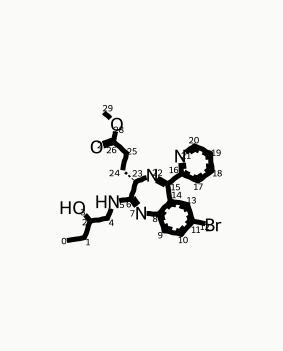 CCC(O)CNC1=Nc2ccc(Br)cc2C(c2ccccn2)=N[C@H]1CCC(=O)OC